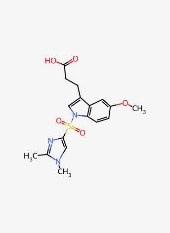 COc1ccc2c(c1)c(CCC(=O)O)cn2S(=O)(=O)c1cn(C)c(C)n1